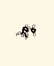 O=C(O)C1=Cc2cc(Cl)c(Oc3cc(Cl)ccc3Cl)cc2OC1C(F)(F)F